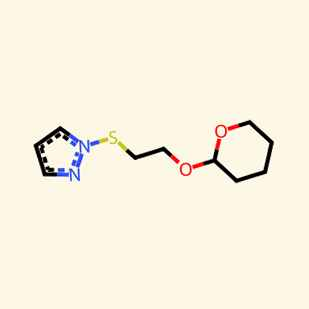 c1cnn(SCCOC2CCCCO2)c1